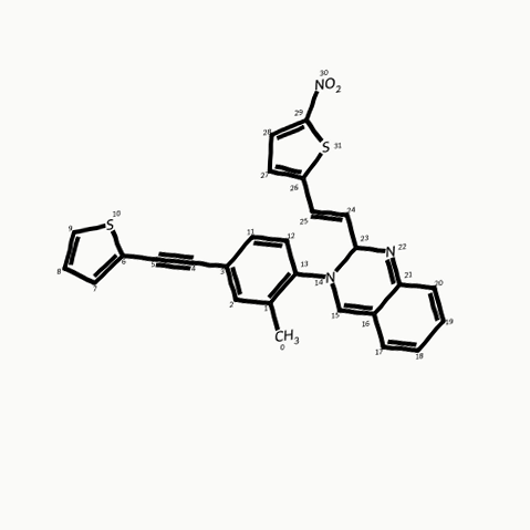 Cc1cc(C#Cc2cccs2)ccc1N1C=c2ccccc2=NC1/C=C/c1ccc([N+](=O)[O-])s1